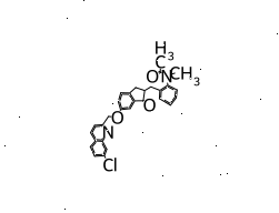 CC(=O)N(C)c1ccccc1CC1Cc2ccc(OCc3ccc4ccc(Cl)cc4n3)cc2C1=O